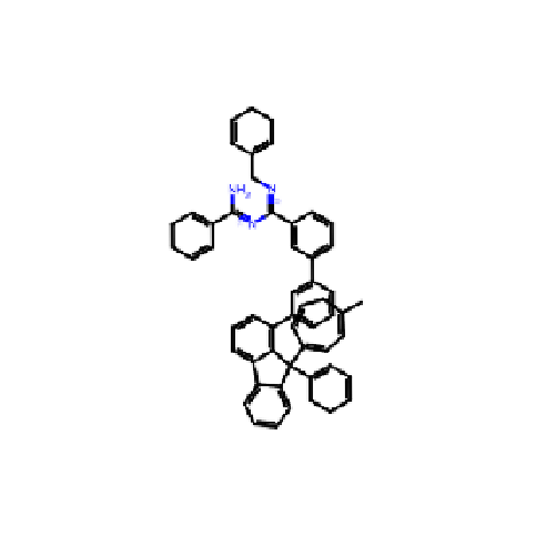 CC1=CC=C(C2(C3=CC=CCC3)c3ccccc3-c3cccc(-c4cccc(-c5cccc(C(/N=C(\N)C6=CCCC=C6)=N/CC6=CCCC=C6)c5)c4)c32)C=CC1